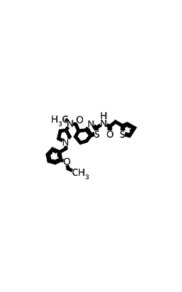 CCOc1ccccc1CN1CCC(N(C)C(=O)C2CCCc3sc(NC(=O)Cc4cccs4)nc32)C1